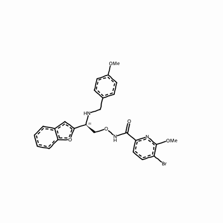 COc1ccc(CN[C@@H](CONC(=O)c2ccc(Br)c(OC)n2)c2cc3ccccc3o2)cc1